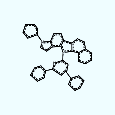 c1ccc(-c2cc(-c3ccccc3)nc(-n3c4c5ccccc5ccc4c4ccc5c(ccn5-c5ccccc5)c43)n2)cc1